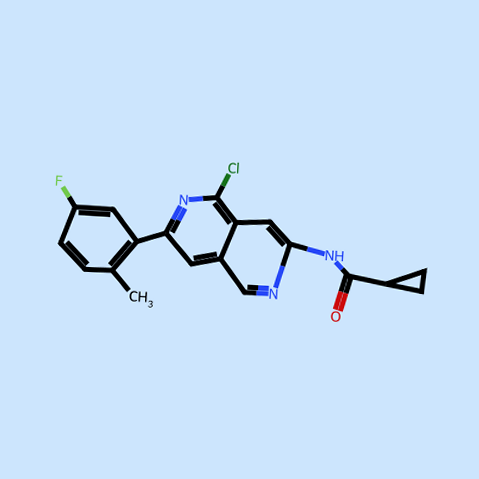 Cc1ccc(F)cc1-c1cc2cnc(NC(=O)C3CC3)cc2c(Cl)n1